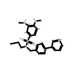 CCCN(Cc1ccc(-c2cccnc2)cc1)S(=O)(=O)c1ccc(OC)c(OC)c1